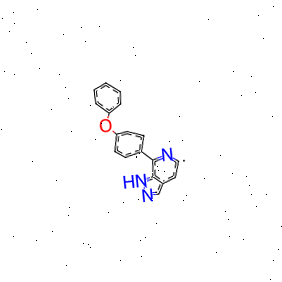 [c]1cc2cn[nH]c2c(-c2ccc(Oc3ccccc3)cc2)n1